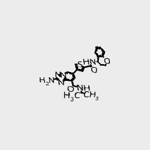 CC(C)NC(=O)c1cc(-c2csc(C(=O)N[C@H]3CCOc4ccccc43)c2)cn2nc(N)nc12